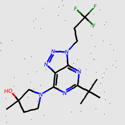 CC1(O)CCN(c2nc(C(C)(C)C)nc3c2nnn3CCC(F)(F)F)C1